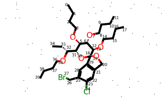 CCCCO[C@H]1[C@H](OCCCC)[C@@H](OCCCC)[C@@]2(OCc3cc(Cl)c(CBr)cc32)O[C@@H]1[C@@H](CC)OCCCC